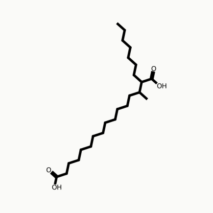 CCCCCCCC(C(=O)O)C(C)CCCCCCCCCCCCC(=O)O